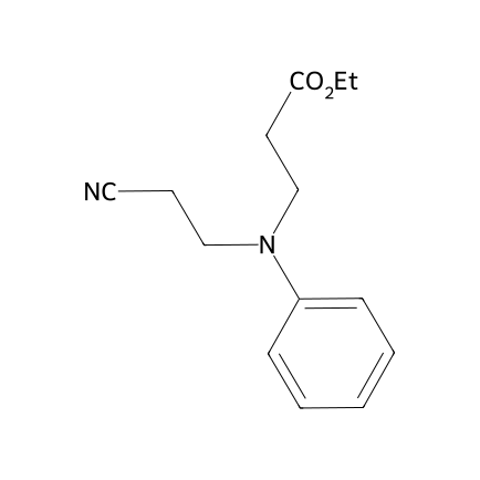 CCOC(=O)CCN(CCC#N)c1ccccc1